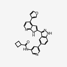 O=C(Nc1cncc(-c2ccc3[nH]nc(-c4cc5c(-c6ccoc6)ccnc5[nH]4)c3c2)c1)C1CCC1